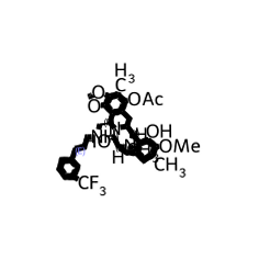 COc1c(C)cc2c(c1O)[C@@H]1C3Cc4c(OC(C)=O)c(C)c5c(c4[C@H](CNC/C=C/c4cccc(C(F)(F)F)c4)N3[C@@H](O)[C@H](C2)N1C)OCO5